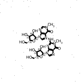 Cn1c(N)nc2c(ncn2[C@@H]2O[C@H](CO)[C@@H](O)[C@H]2O)c1=O.Cn1cnc2c(ncn2[C@@H]2O[C@H](CO)[C@@H](O)[C@H]2O)c1=O